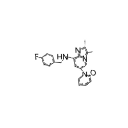 Cc1nc2c(NCc3ccc(F)cc3)cc(-n3ccccc3=O)cn2c1C